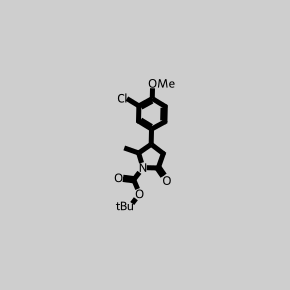 COc1ccc(C2CC(=O)N(C(=O)OC(C)(C)C)C2C)cc1Cl